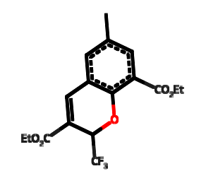 CCOC(=O)C1=Cc2cc(C)cc(C(=O)OCC)c2OC1C(F)(F)F